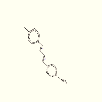 Cc1ccc(/C=C/C=C/c2ccc(N)cc2)cc1